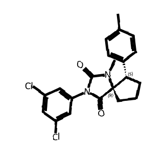 Cc1ccc([C@@H]2CCC[C@]23C(=O)N(c2cc(Cl)cc(Cl)c2)C(=O)N3C)cc1